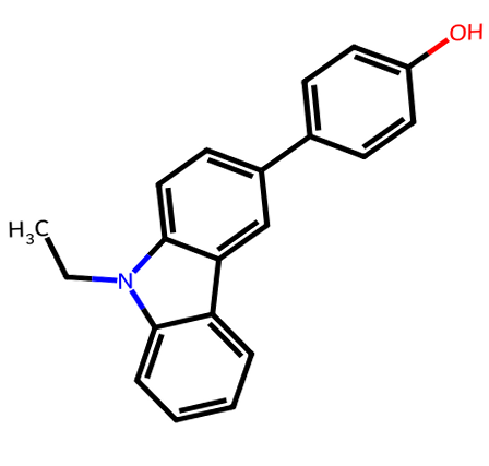 CCn1c2ccccc2c2cc(-c3ccc(O)cc3)ccc21